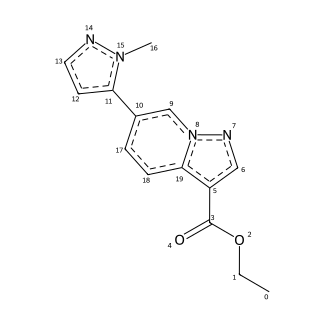 CCOC(=O)c1cnn2cc(-c3ccnn3C)ccc12